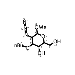 CCCCOC1C(N=[N+]=[N-])C(OC)OC(CO)[C@H]1O